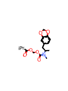 CC(C)C(=O)OCOC(=O)N(C)C(C)Cc1ccc2c(c1)OCO2